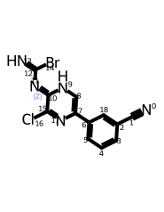 N#Cc1cccc(-c2c[nH]/c(=N\C(=N)Br)c(Cl)n2)c1